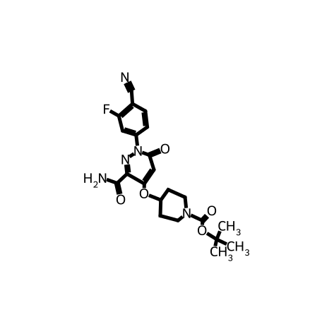 CC(C)(C)OC(=O)N1CCC(Oc2cc(=O)n(-c3ccc(C#N)c(F)c3)nc2C(N)=O)CC1